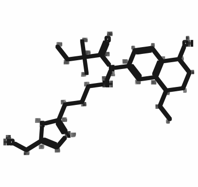 CCC1CCC(O)c2ccc(N(NCCCc3ncc(CO)s3)C(=O)C(C)(C)CC)cc21